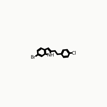 Clc1ccc(CCc2cc3ccc(Br)cc3[nH]2)cc1